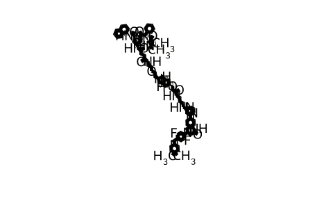 CN[C@@H](C)C(=O)N[C@H](C(=O)N1C[C@@H](NC(=O)CCC(=O)NCCOCCN2C[C@H]3C[C@@H](OCC(=O)NCCCNc4cc(N5CCC6(CC5)CN(c5cc(F)c(CN7CCC(C)(C)CC7)cc5F)CC(=O)N6)ncn4)C[C@H]3C2)C[C@H]1C(=O)N[C@H]1CCCc2ccccc21)C1CCCCC1